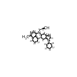 C#CCN(c1ccc2c(c1)ncn2-c1ccccc1)c1nnc(C)c2ccccc12